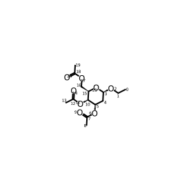 CCO[C@H]1C[C@@H](OC(C)=O)[C@@H](OC(C)=O)[C@@H](COC(C)=O)O1